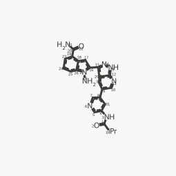 CC(C)C(=O)Nc1cncc(-c2cnc3[nH]nc(-c4cc5c(C(N)=O)cccc5n4N)c3c2)c1